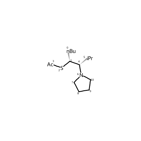 CCCC[C@@H](SC(C)=O)[C@H](C(C)C)N1CCCC1